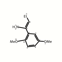 [CH2]CC=C(N)c1cc(OC)ccc1OC